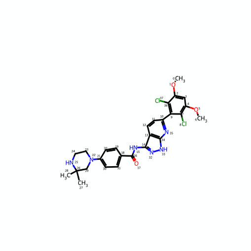 COc1cc(OC)c(Cl)c(-c2ccc3c(NC(=O)c4ccc(N5CCNC(C)(C)C5)cc4)n[nH]c3n2)c1Cl